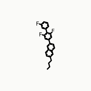 CCCCc1ccc2cc(-c3cc(F)c(-c4cccc(F)c4)c(F)c3)ccc2c1